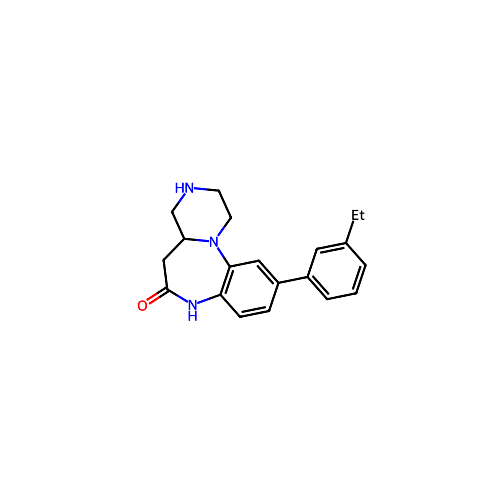 CCc1cccc(-c2ccc3c(c2)N2CCNCC2CC(=O)N3)c1